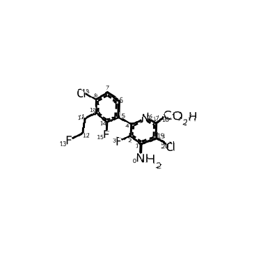 Nc1c(F)c(-c2ccc(Cl)c(CCF)c2F)nc(C(=O)O)c1Cl